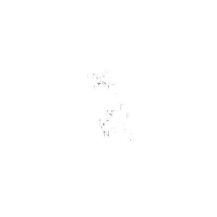 COc1cc(C(F)(F)F)c2c(N3CC(CCNS(N)(=O)=O)C3)ncnc2c1